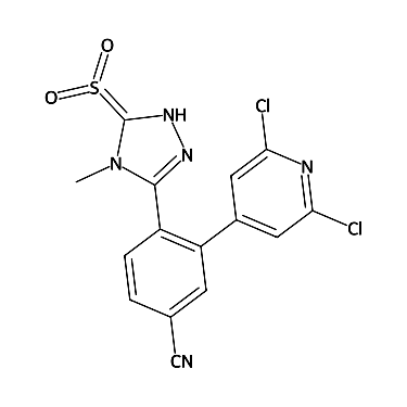 Cn1c(-c2ccc(C#N)cc2-c2cc(Cl)nc(Cl)c2)n[nH]c1=S(=O)=O